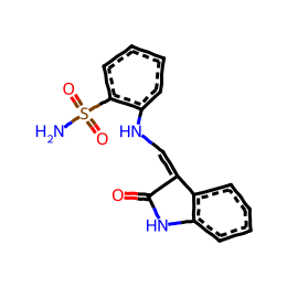 NS(=O)(=O)c1ccccc1NC=C1C(=O)Nc2ccccc21